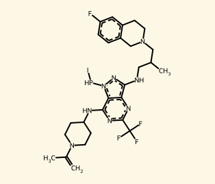 C=C(C)N1CCC(Nc2nc(C(F)(F)F)nc3c(NCC(C)CN4CCc5cc(F)ccc5C4)nn(PI)c23)CC1